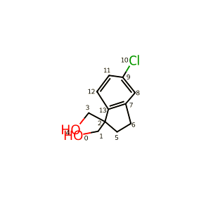 OCC1(CO)CCc2cc(Cl)ccc21